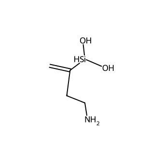 C=C(CCN)[SiH](O)O